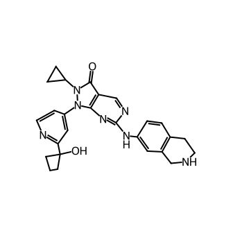 O=c1c2cnc(Nc3ccc4c(c3)CNCC4)nc2n(-c2ccnc(C3(O)CCC3)c2)n1C1CC1